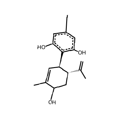 C=C(C)[C@@H]1CC(O)C(C)=C[C@H]1c1c(O)cc(C)cc1O